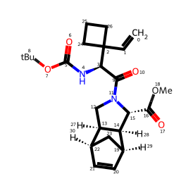 C=CC1([C@H](NC(=O)OC(C)(C)C)C(=O)N2C[C@H]3[C@@H]([C@H]2C(=O)OC)[C@H]2C=C[C@@H]3C2)CCC1